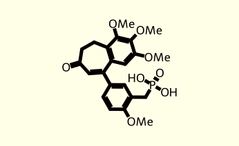 COc1ccc(C2=CC(=O)CCc3c2cc(OC)c(OC)c3OC)cc1CP(=O)(O)O